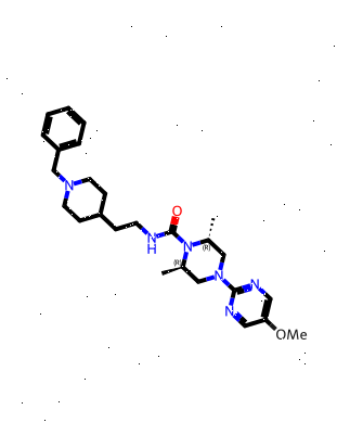 COc1cnc(N2C[C@@H](C)N(C(=O)NCCC3CCN(Cc4ccccc4)CC3)[C@H](C)C2)nc1